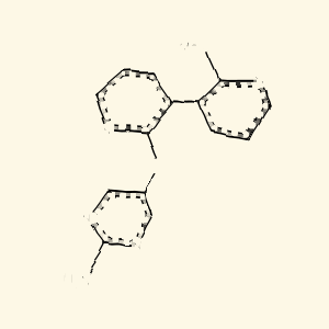 COc1ncccc1-c1cccnc1Oc1cnc(N)nc1